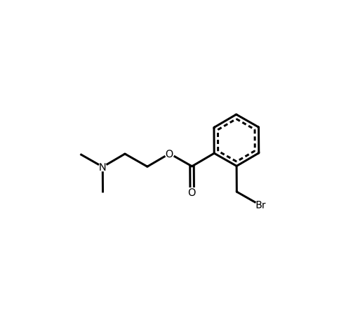 CN(C)CCOC(=O)c1ccccc1CBr